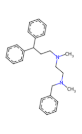 CN(CCC(c1ccccc1)c1ccccc1)CCN(C)Cc1ccccc1